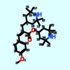 COc1ccc(/C=C(/CC2CC(C)(C)NC(C)(C)C2)C(=O)OC2CC(C)(C)NC(C)(C)C2)cc1